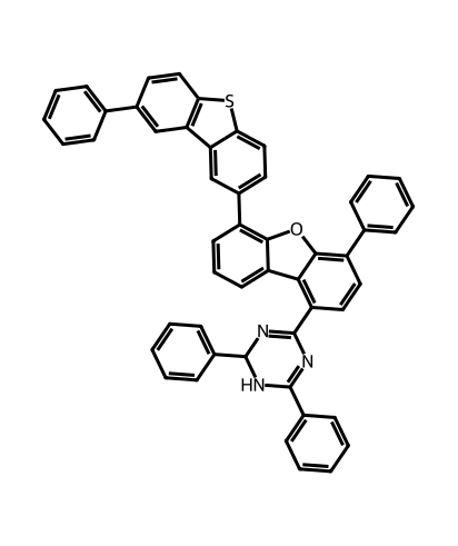 c1ccc(C2=NC(c3ccc(-c4ccccc4)c4oc5c(-c6ccc7sc8ccc(-c9ccccc9)cc8c7c6)cccc5c34)=NC(c3ccccc3)N2)cc1